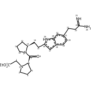 CCOC(=O)CN1CCC[C@@H]1C(=O)N1CCC[C@H]1CCc1cc2ccc(CCC(=N)N)cc2[nH]1